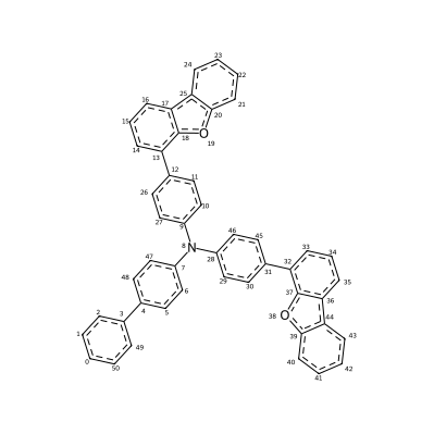 c1ccc(-c2ccc(N(c3ccc(-c4cccc5c4oc4ccccc45)cc3)c3ccc(-c4cccc5c4oc4ccccc45)cc3)cc2)cc1